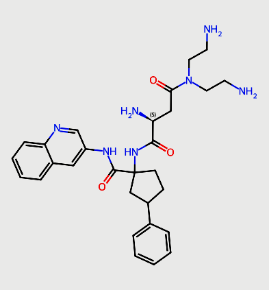 NCCN(CCN)C(=O)C[C@H](N)C(=O)NC1(C(=O)Nc2cnc3ccccc3c2)CCC(c2ccccc2)C1